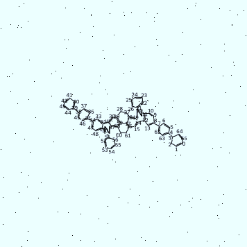 C1=CCC(c2ccc(-c3ccc4c(c3)c3cc5c6c(c3n4-c3ccccc3)CCc3cc4c7cc(-c8ccc(-c9ccccc9)cc8)ccc7n(C7C=CC=CC7)c4c(c3-6)CC5)cc2)C=C1